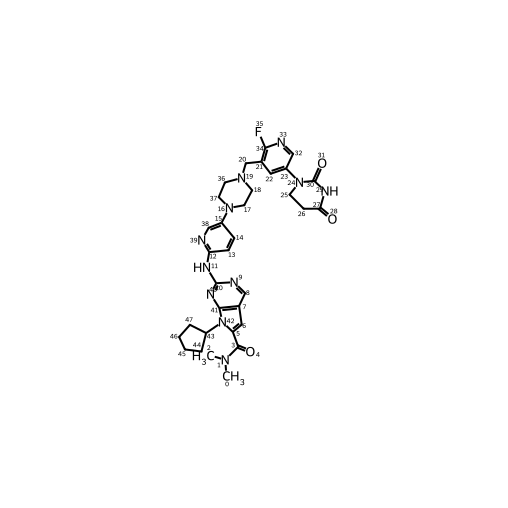 CN(C)C(=O)c1cc2cnc(Nc3ccc(N4CCN(Cc5cc(N6CCC(=O)NC6=O)cnc5F)CC4)cn3)nc2n1C1CCCC1